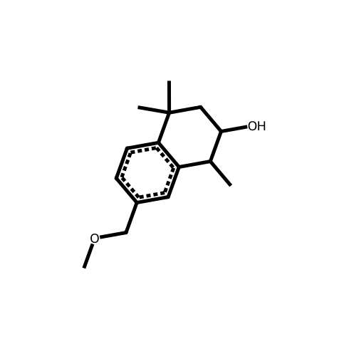 COCc1ccc2c(c1)C(C)C(O)CC2(C)C